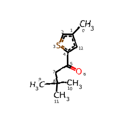 Cc1csc(C(=O)CC(C)(C)C)c1